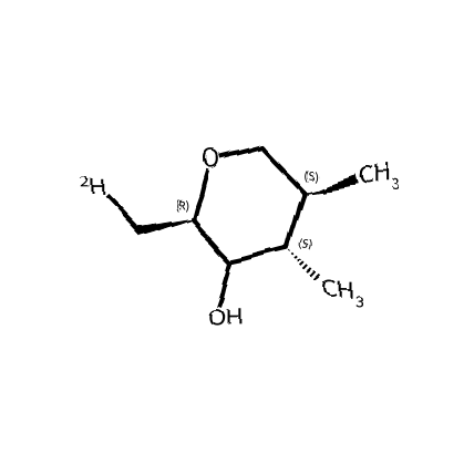 [2H]C[C@H]1OC[C@@H](C)[C@H](C)C1O